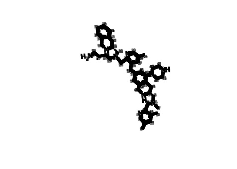 Cc1cnc(CN(C)C[C@H]2Cc3c(cc(Cc4cc(C)cnc4CN(CCCCN)C[C@H]4Cc5ccccc5CN4)cc3N3CCNCC3)CN2)c(C)c1